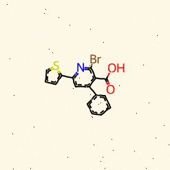 O=C(O)c1c(-c2ccccc2)cc(-c2cccs2)nc1Br